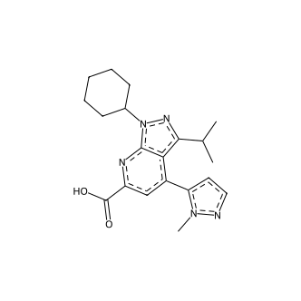 CC(C)c1nn(C2CCCCC2)c2nc(C(=O)O)cc(-c3ccnn3C)c12